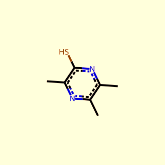 Cc1nc(C)c(S)nc1C